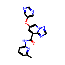 Cc1cccc(NC(=O)c2cc(Oc3cncnc3)cn3ncnc23)n1